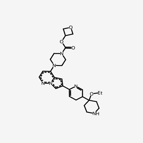 CCOC1(C2C=NC(c3cc4c(N5CCN(C(=O)OC6COC6)CC5)ccnn4c3)=CC2)CCNCC1